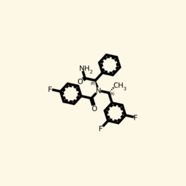 C[C@H](c1cc(F)cc(F)c1)N(C(=O)c1ccc(F)cc1)[C@@H](C(N)=O)c1ccccc1